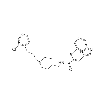 O=C(NCC1CCN(CCCc2ccccc2Cl)CC1)C1=Cc2cnc3cccc(n23)S1